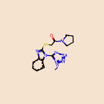 Cn1nnnc1-n1c(SCC(=O)N2CCCC2)nc2ccccc21